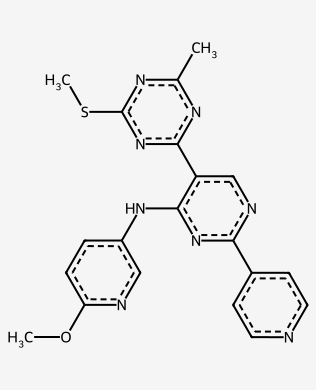 COc1ccc(Nc2nc(-c3ccncc3)ncc2-c2nc(C)nc(SC)n2)cn1